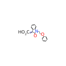 O=C(O)/C=C1/C(=O)N(CCOc2ccccc2)c2ccccc21